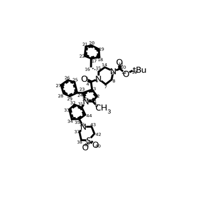 Cc1cc(C(=O)N2CCN(C(=O)OC(C)(C)C)C[C@H]2Cc2ccccc2)c(-c2ccccc2)n1-c1cccc(N2CCS(=O)(=O)CC2)c1